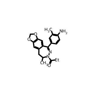 CCC(=O)N1N=C(c2ccc(N)c(C)c2)c2cc3c(cc2CC1C)OCO3